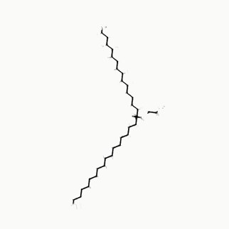 CCCCCCCCCCCCCCCCCC(O)(CCCCCCCCCCCCCCC)OCCO